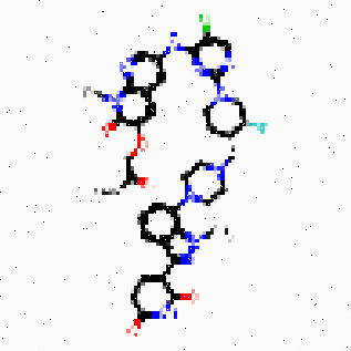 CNC(=O)COc1cc2cc(Nc3nc(N4CC[C@@H](CN5CCN(c6cccc7c(C8CCC(=O)NC8=O)nn(C)c67)CC5)[C@H](F)C4)ncc3Cl)cnc2n(C(C)C)c1=O